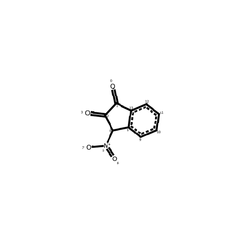 O=C1C(=O)C([N+](=O)[O-])c2ccccc21